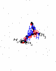 CCNC(=O)C(=O)CCC(NC(=O)c1cn(C2CCCC2)cn1)C(=O)Nc1cccn(CC(=O)NC23CC(C)CC(CC(CC)C2)C3)c1=O